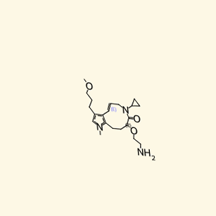 COCCCc1cn(C)c2c1/C=C/CN(C1CC1)C(=O)[C@H](OCCN)CC2